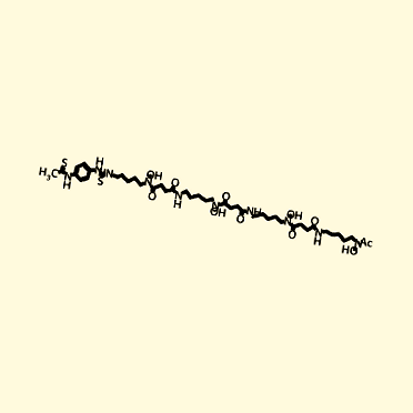 CC(=O)N(O)CCCCCNC(=O)CCC(=O)N(O)CCCCCNC(=O)CCC(=O)N(O)CCCCCNC(=O)CCC(=O)N(O)CCCCCNC(=S)Nc1ccc(NC(C)=S)cc1